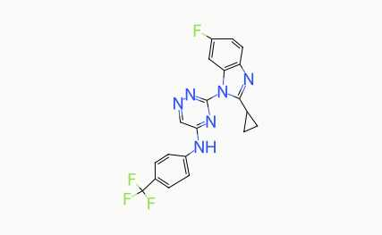 Fc1ccc2nc(C3CC3)n(-c3nncc(Nc4ccc(C(F)(F)F)cc4)n3)c2c1